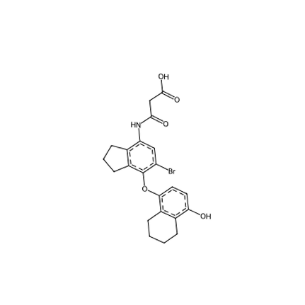 O=C(O)CC(=O)Nc1cc(Br)c(Oc2ccc(O)c3c2CCCC3)c2c1CCC2